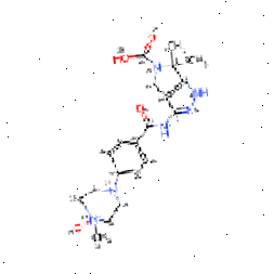 CC1(C)c2[nH]nc(NC(=O)c3ccc(N4CC[N+](C)([O-])CC4)cc3)c2CN1C(=O)O